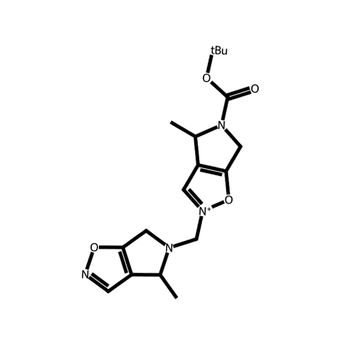 CC1c2cnoc2CN1C[n+]1cc2c(o1)CN(C(=O)OC(C)(C)C)C2C